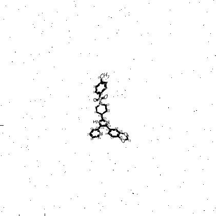 Cc1ccc(S(=O)(=O)N2CCC(c3nc(-c4ccc5c(c4)OCO5)c(-c4ccccn4)[nH]3)CC2)cc1